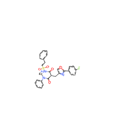 CCN(C(=O)C(Cc1coc(-c2ccc(F)cc2)n1)C(=O)NS(=O)(=O)C=Cc1ccccc1)c1ccccc1